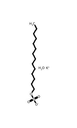 CCCCCCCCCCCCCCOS(=O)(=O)[O-].O.[K+]